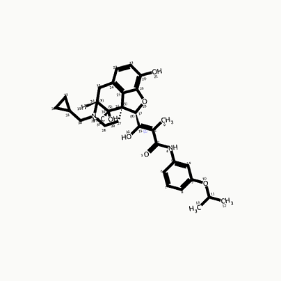 C/C(C(=O)Nc1cccc(OC(C)C)c1)=C(/O)[C@@H]1Oc2c(O)ccc3c2[C@@]12CCN(CC1CC1)[C@H](C3)[C@@]2(C)O